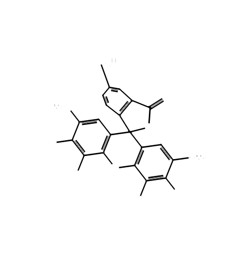 COc1cc2c(c(Cl)c1O)Oc1c(cc(OC)c(O)c1Cl)C21OC(=O)c2cc(C(=O)O)ccc21